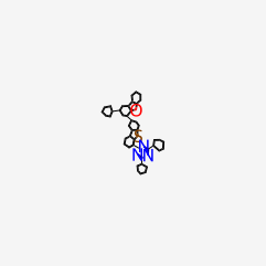 c1ccc(-c2cc(-c3ccc4sc5c(-c6nc(-c7ccccc7)nc(-c7ccccc7)n6)cccc5c4c3)c3oc4ccccc4c3c2)cc1